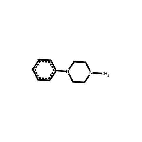 CN1CCN(c2c[c]ccc2)CC1